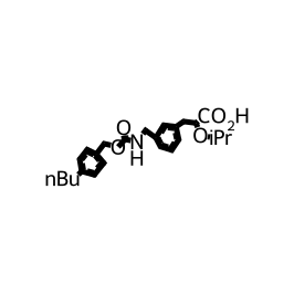 CCCCc1ccc(COC(=O)NCc2cccc(CC(OC(C)C)C(=O)O)c2)cc1